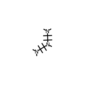 CN(C)C(C)(C)C(C)(C)N(C)C(C)(C)C(C)(C)N(C)C